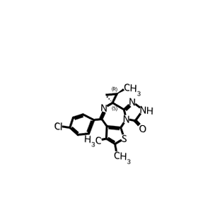 Cc1sc2c(c1C)C(c1ccc(Cl)cc1)=N[C@]1(C[C@H]1C)c1n[nH]c(=O)n1-2